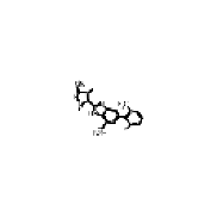 Cc1c(C(C)(C)C)nn(C)c1-c1nc2cc(-c3c(F)cccc3C(F)(F)F)cc(Cl)c2[nH]1.[NaH]